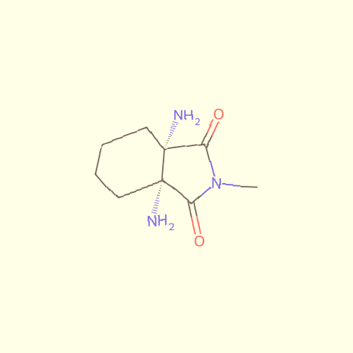 CN1C(=O)[C@]2(N)CCCC[C@]2(N)C1=O